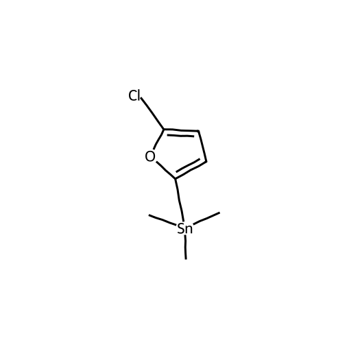 [CH3][Sn]([CH3])([CH3])[c]1ccc(Cl)o1